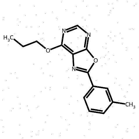 CCCOc1ncnc2oc(-c3cccc(C)c3)nc12